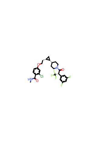 CNC(=O)c1ccc(OCC[C@@H]2C[C@@H]2C2CCN(C(=O)[C@H](c3cc(F)cc(F)c3)C(F)(F)F)CC2)cc1Cl